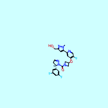 Cn1nc(CO)cc1-c1cc(OC2CN(C(=O)N3N=CC[C@H]3c3cc(F)cc(F)c3)C2)c(F)cn1